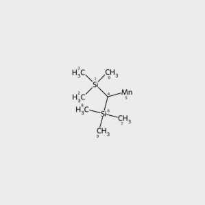 C[Si](C)(C)[CH]([Mn])[Si](C)(C)C